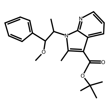 COC(c1ccccc1)C(C)n1c(C)c(C(=O)OC(C)(C)C)c2cccnc21